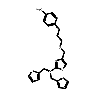 COc1ccc(CCCOCc2coc(N(Cc3cccs3)Cc3cccs3)n2)cc1